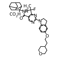 CC(F)(F)c1nc(N2CCc3cc(OCCC4CCOCC4)ccc32)ncc1C(=O)NC1(C(=O)O)C2CC3CC(C2)CC1C3